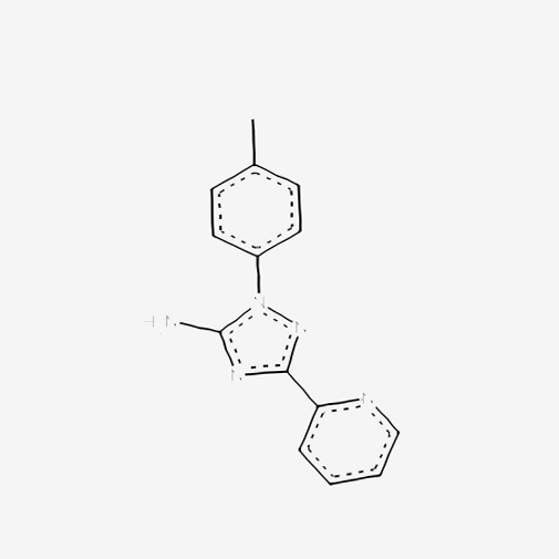 Cc1ccc(-n2nc(-c3ccccn3)nc2N)cc1